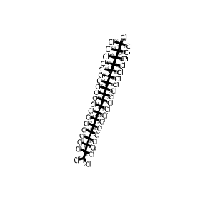 Cl[C](Cl)C(Cl)(Cl)C(Cl)(Cl)C(Cl)(Cl)C(Cl)(Cl)C(Cl)(Cl)C(Cl)(Cl)C(Cl)(Cl)C(Cl)(Cl)C(Cl)(Cl)C(Cl)(Cl)C(Cl)(Cl)C(Cl)(Cl)C(Cl)(Cl)C(Cl)(Cl)C(Cl)(Cl)C(Cl)(Cl)C(Cl)(Cl)C(Cl)(Cl)Cl